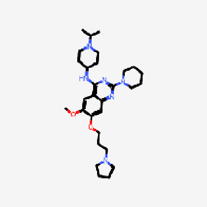 COc1cc2c(NC3CCN(C(C)C)CC3)nc(N3CCCCC3)nc2cc1OCCCN1CCCC1